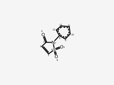 O=C1C=CS(=O)(=O)N1c1c[c]ccc1